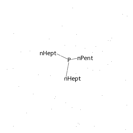 CCCCCCCP(CCCCC)CCCCCCC